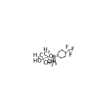 CC(C)(O)C(C)(C)OBc1ccc(C(F)(F)F)cc1